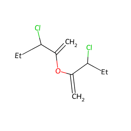 C=C(OC(=C)C(Cl)CC)C(Cl)CC